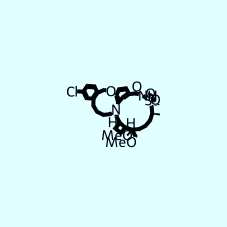 COC[C@@]1(OC)CCC[C@H](C)[C@@H](C)S(=O)(=O)NC(=O)c2ccc3c(c2)N(CCCCc2cc(Cl)ccc2CO3)C[C@@H]2CC[C@H]21